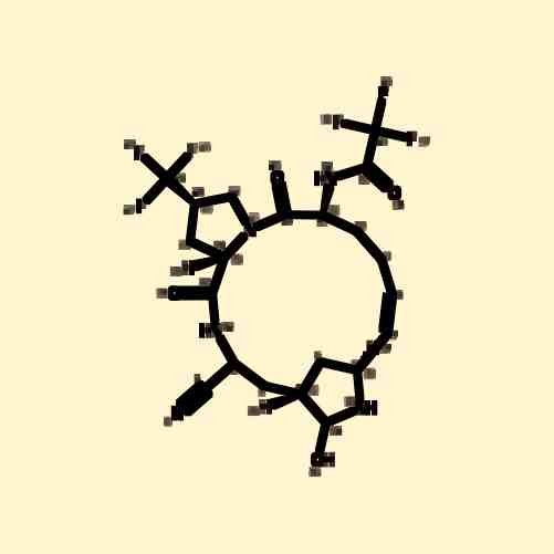 N#CC1C[C@@H]2C[C@@H](C=CCC[C@H](NC(=O)C(F)(F)F)C(=O)N3C[C@H](C(F)(F)F)C[C@H]3C(=O)N1)NC2O